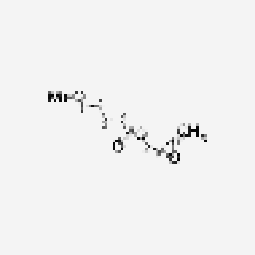 COCCCCC(=O)OCC1OC1C